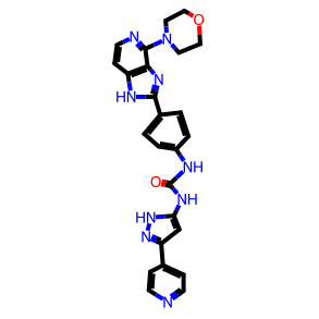 O=C(Nc1ccc(-c2nc3c(N4CCOCC4)nccc3[nH]2)cc1)Nc1cc(-c2ccncc2)n[nH]1